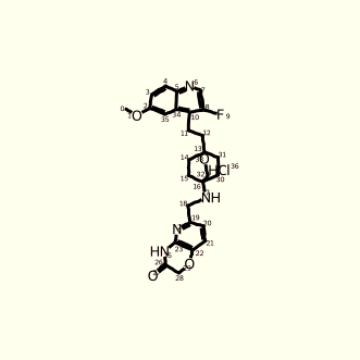 COc1ccc2ncc(F)c(CCC34CCC(NCc5ccc6c(n5)NC(=O)CO6)(CC3)CO4)c2c1.Cl